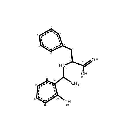 CC(NC(Cc1ccccc1)C(=O)O)c1ccccc1O